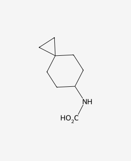 O=C(O)NC1CCC2(CC1)CC2